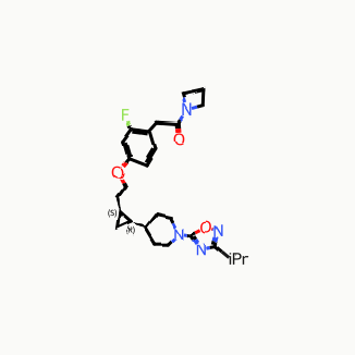 CC(C)c1noc(N2CCC([C@H]3C[C@H]3CCOc3ccc(CC(=O)N4CCC4)c(F)c3)CC2)n1